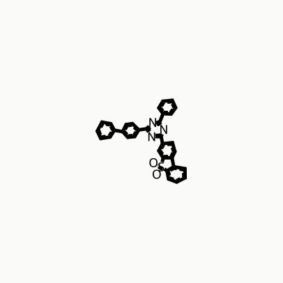 O=S1(=O)c2ccccc2-c2ccc(-c3nc(-c4ccccc4)nc(-c4ccc(-c5ccccc5)cc4)n3)cc21